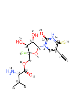 C#Cc1cn([C@@H]2O[C@](F)(COC(=O)[C@@H](N)C(C)C)[C@@H](O)[C@H]2O)c(=O)[nH]c1=S